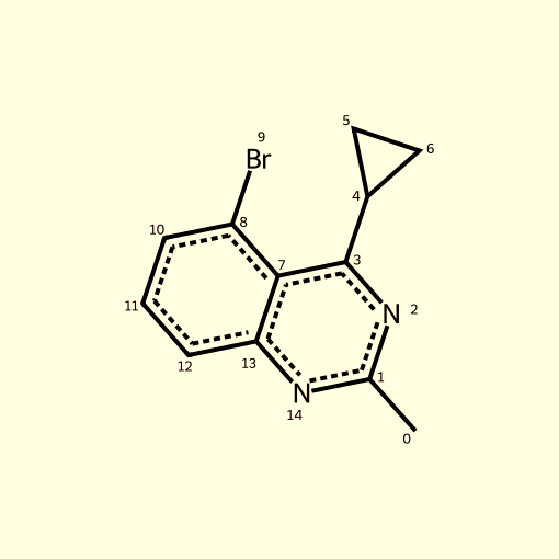 Cc1nc(C2CC2)c2c(Br)cccc2n1